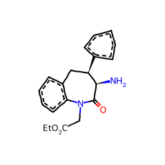 CCOC(=O)CN1C(=O)[C@H](N)[C@H](c2ccccc2)Cc2ccccc21